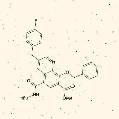 CCCCNC(=O)c1cc(C(=O)OC)c(OCc2ccccc2)c2ncc(Cc3ccc(F)cc3)cc12